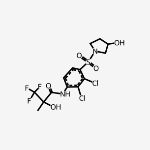 CC(O)(C(=O)Nc1ccc(S(=O)(=O)N2CCC(O)C2)c(Cl)c1Cl)C(F)(F)F